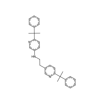 CC(C)(c1ccccc1)c1ccc(CCNc2ccc(C(C)(C)c3ccccc3)nc2)cn1